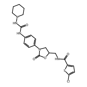 O=C(Nc1ccc(N2CC(CNC(=O)c3ccc(Cl)s3)OC2=O)cc1)NN1CCCCC1